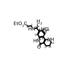 CCOC(=O)CCNC(C)c1ccc2c3c(c(=O)[nH]c2c1)CCCN3.Cl.Cl